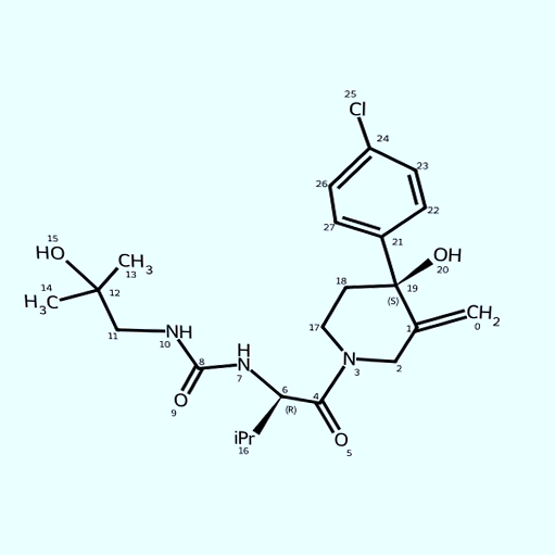 C=C1CN(C(=O)[C@H](NC(=O)NCC(C)(C)O)C(C)C)CC[C@]1(O)c1ccc(Cl)cc1